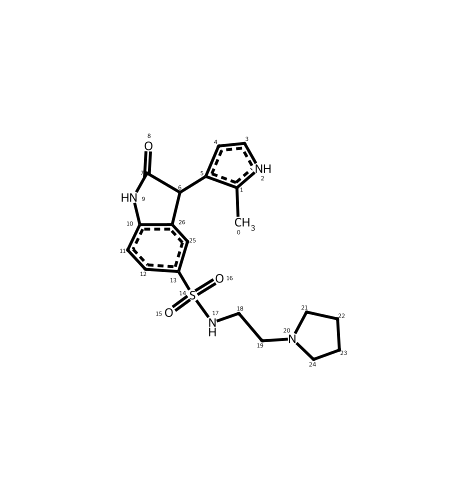 Cc1[nH]ccc1C1C(=O)Nc2ccc(S(=O)(=O)NCCN3CCCC3)cc21